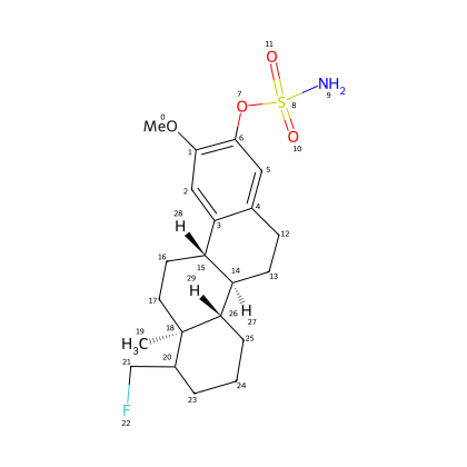 COc1cc2c(cc1OS(N)(=O)=O)CC[C@@H]1[C@@H]2CC[C@]2(C)C(CF)CCC[C@@H]12